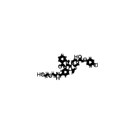 CC(C)Oc1ccc(CNCCOCCO)cc1-n1c(CN2CCN(C(O)COc3ccc(Cl)cc3)CC2)nc2ccccc2c1=O